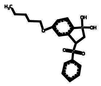 CCCCCOc1ccc2c(c1)C(S(=O)(=O)c1ccccc1)CS2(O)O